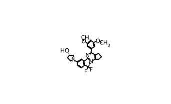 COc1cc(OC)cc(-c2nc(-c3cc(N4CC[C@H](O)C4)ccc3C(F)(F)F)nc3c2CCC3)c1